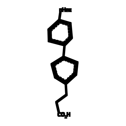 CCCCCCc1ccc(-c2ccc(CCC(=O)O)cc2)cc1